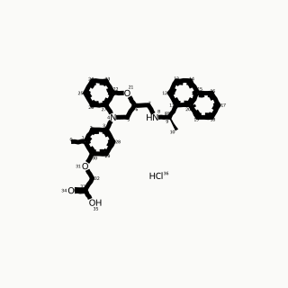 Cc1cc(N2CC(CN[C@H](C)c3cccc4ccccc34)Oc3ccccc32)ccc1OCC(=O)O.Cl